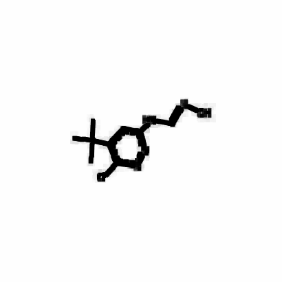 CC(C)(C)c1cc(NC=NO)nnc1Cl